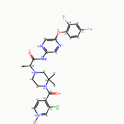 C[C@@H](C(=O)Nc1cnc(Oc2ccc(F)cc2F)cn1)N1CCN(C(=O)c2cc[n+]([O-])cc2Cl)C(C)(C)C1